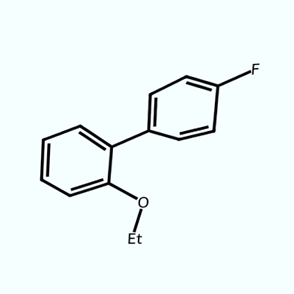 CCOc1ccccc1-c1ccc(F)cc1